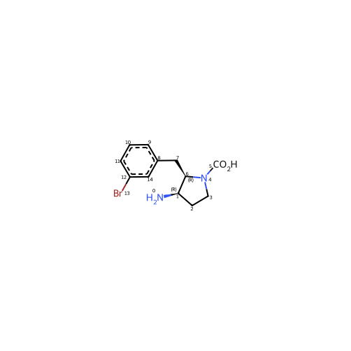 N[C@@H]1CCN(C(=O)O)[C@@H]1Cc1cccc(Br)c1